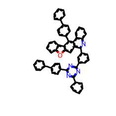 c1ccc(-c2ccc(-c3nc(-c4ccccc4)nc(-c4cccc(-c5nc6ccccc6c6c(-c7ccc(-c8ccccc8)cc7)c7c(cc56)oc5ccccc57)c4)n3)cc2)cc1